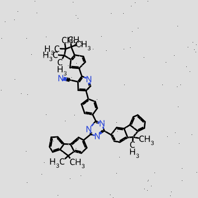 CC1(C)c2ccccc2-c2cc(-c3nc(-c4ccc(-c5cnc(-c6ccc7c(c6)C(C)(C)C(C)(C)C7(C)C)c(C#N)c5)cc4)nc(-c4ccc5c(c4)-c4ccccc4C5(C)C)n3)ccc21